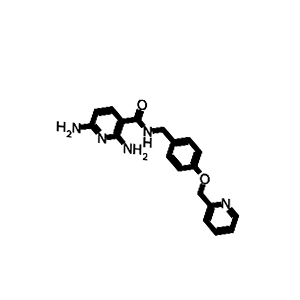 Nc1ccc(C(=O)NCc2ccc(OCc3ccccn3)cc2)c(N)n1